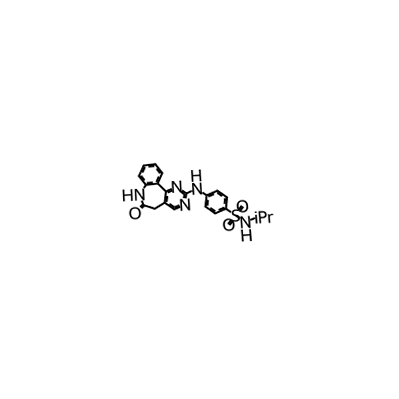 CC(C)NS(=O)(=O)c1ccc(Nc2ncc3c(n2)-c2ccccc2NC(=O)C3)cc1